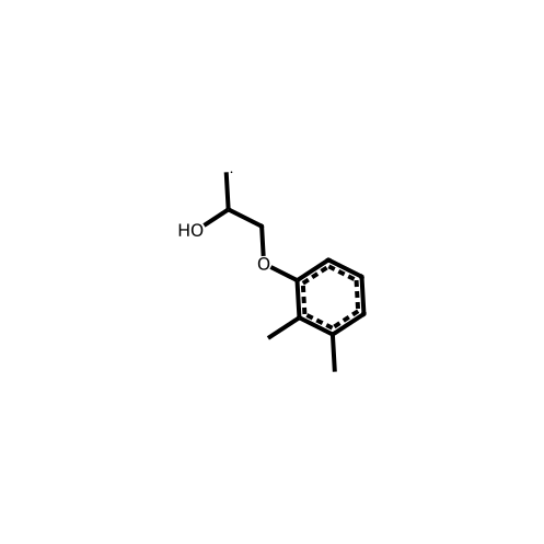 [CH2]C(O)COc1cccc(C)c1C